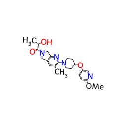 COc1ccc(OC2CCN(c3nc4c(cc3C)CN(C(=O)C(C)O)C4)CC2)cn1